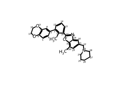 Cc1c(-c2ccc3c(c2)OCCO3)cccc1-c1nc2cc(CN3CCCCC3)cc(C)c2o1